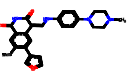 COc1cc2c(cc1-c1ccoc1)/C(=C/Nc1ccc(N3CCN(C)CC3)cc1)C(=O)NC2=O